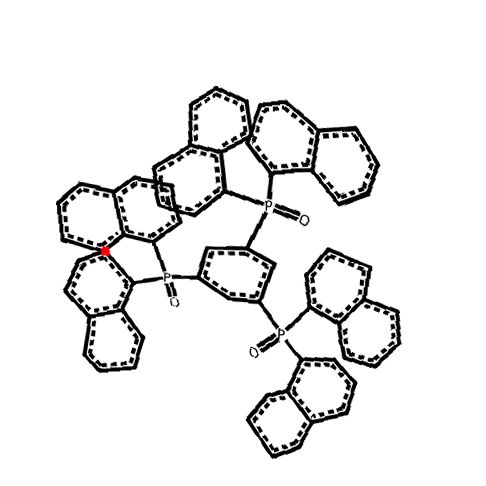 O=P(c1cc(P(=O)(c2cccc3ccccc23)c2cccc3ccccc23)cc(P(=O)(c2cccc3ccccc23)c2cccc3ccccc23)c1)(c1cccc2ccccc12)c1cccc2ccccc12